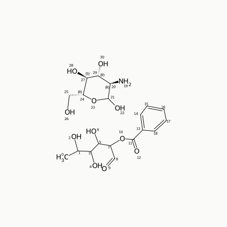 CC(O)C(O)C(O)C(C=O)OC(=O)c1ccccc1.N[C@H]1C(O)O[C@H](CO)[C@@H](O)[C@@H]1O